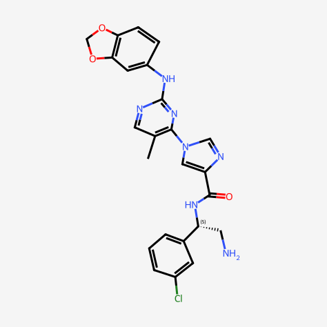 Cc1cnc(Nc2ccc3c(c2)OCO3)nc1-n1cnc(C(=O)N[C@H](CN)c2cccc(Cl)c2)c1